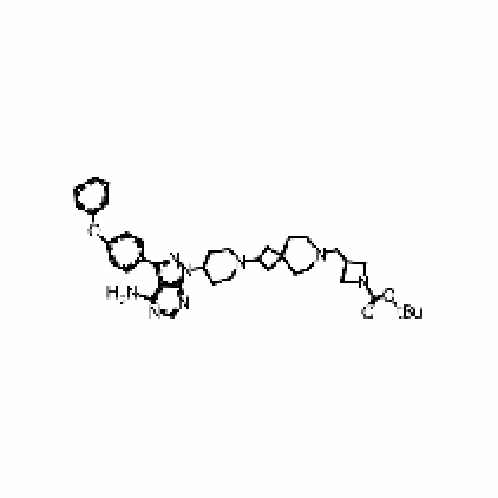 CC(C)(C)OC(=O)N1CC(CN2CCC3(CC2)CC(N2CCC(n4nc(-c5ccc(Oc6ccccc6)cc5)c5c(N)ncnc54)CC2)C3)C1